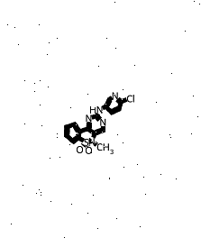 CN1c2cnc(Nc3ccc(Cl)nc3)nc2-c2ccccc2S1(=O)=O